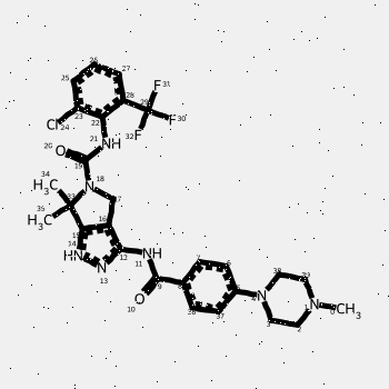 CN1CCN(c2ccc(C(=O)Nc3n[nH]c4c3CN(C(=O)Nc3c(Cl)cccc3C(F)(F)F)C4(C)C)cc2)CC1